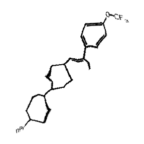 CCCC1CCC(C2CCC(/C=C(\C)c3ccc(OC(F)(F)F)cc3)CC2)CC1